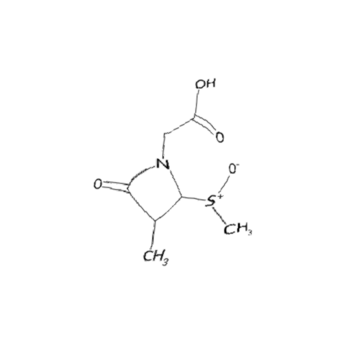 CC1C(=O)N(CC(=O)O)C1[S+](C)[O-]